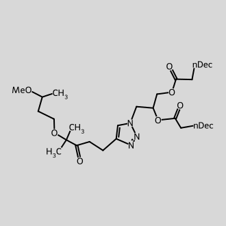 CCCCCCCCCCCC(=O)OCC(Cn1cc(CCC(=O)C(C)(C)OCCC(C)OC)nn1)OC(=O)CCCCCCCCCCC